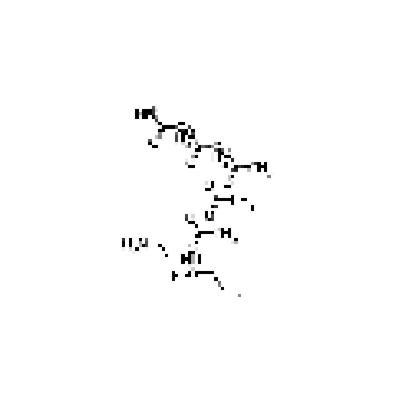 CC(=O)[O-].CC(=O)[O-].CC(=O)[O-].CC(=O)[O-].CC(=O)[O-].NCCNCCN.[Fe+4].[NH4+]